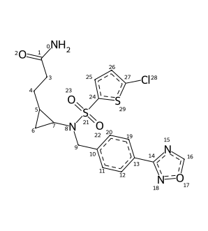 NC(=O)CCC1CC1N(Cc1ccc(-c2ncon2)cc1)S(=O)(=O)c1ccc(Cl)s1